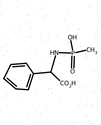 CP(=O)(O)NC(C(=O)O)c1ccccc1